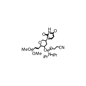 COP(/C=C/C1OCC(n2ccc(=O)[nH]c2=O)CC1OP(OCCC#N)N(C(C)C)C(C)C)OC